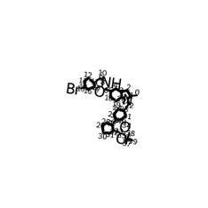 Cc1cc2cc(C(=O)N[C@@H](C)c3ccc(Br)cc3)ccc2n1Cc1ccc(-c2ccccc2C(=O)OC(C)(C)C)cc1